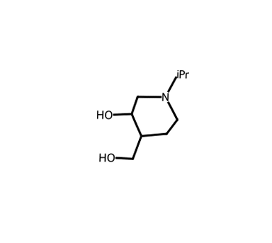 CC(C)N1CCC(CO)C(O)C1